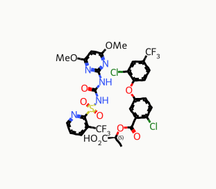 COc1cc(OC)nc(NC(=O)NS(=O)(=O)c2ncccc2C(F)(F)F)n1.C[C@H](OC(=O)c1cc(Oc2ccc(C(F)(F)F)cc2Cl)ccc1Cl)C(=O)O